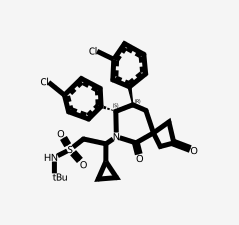 CC(C)(C)NS(=O)(=O)CC(C1CC1)N1C(=O)C2(CC(=O)C2)C[C@H](c2cccc(Cl)c2)[C@H]1c1ccc(Cl)cc1